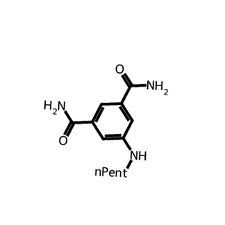 CCCCCNc1cc(C(N)=O)cc(C(N)=O)c1